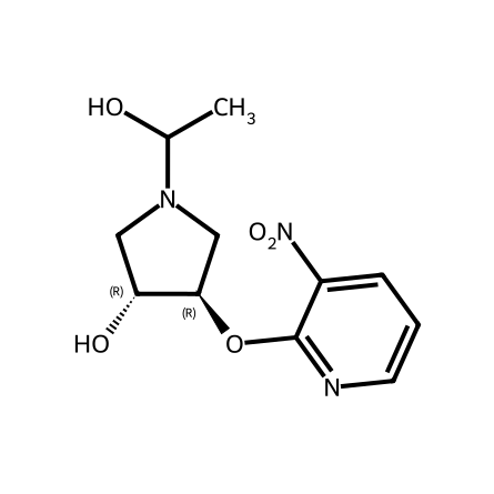 CC(O)N1C[C@@H](O)[C@H](Oc2ncccc2[N+](=O)[O-])C1